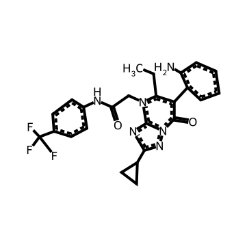 CCc1c(-c2ccccc2N)c(=O)n2nc(C3CC3)nc2n1CC(=O)Nc1ccc(C(F)(F)F)cc1